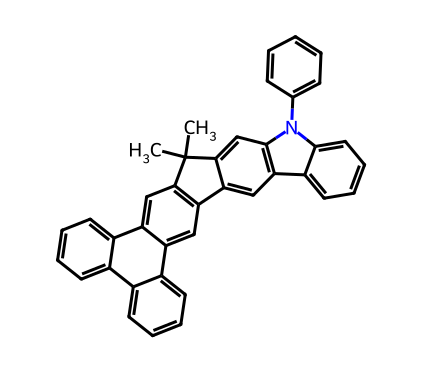 CC1(C)c2cc3c4ccccc4c4ccccc4c3cc2-c2cc3c4ccccc4n(-c4ccccc4)c3cc21